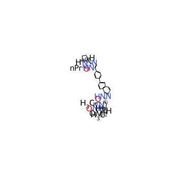 CCCC(=O)N1[C@@H]2CC[C@@H](C2)[C@H]1c1ncc(-c2ccc(-c3ccc4c(ccc5nc([C@@H]6C[C@H]7[C@@H](C)[C@H]7N6C(=O)[C@H](C)NC(=O)OC)[nH]c54)c3)cc2)[nH]1